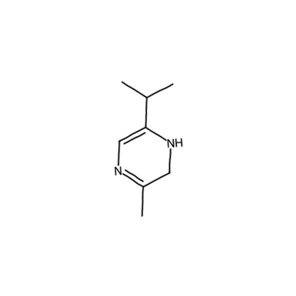 CC1=NC=C(C(C)C)NC1